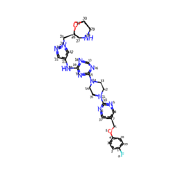 Fc1ccc(OCc2cnc(N3CCN(c4ncnc(Nc5cnn(C[C@@H]6CNCCO6)c5)n4)CC3)nc2)cc1